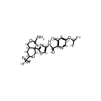 NC1=NC2(c3nc(NC(=O)c4ncc(OC(F)F)cc4Cl)cs3)COC(C(F)(F)F)CC2CO1